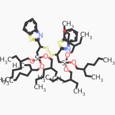 CCCCC(CC)CO[Si](CC(SSC(C[Si](OCC(CC)CCCC)(OCC(CC)CCCC)OCC(CC)CCCC)c1nc2ccccc2s1)c1nc2ccccc2s1)(OCC(CC)CCCC)OCC(CC)CCCC